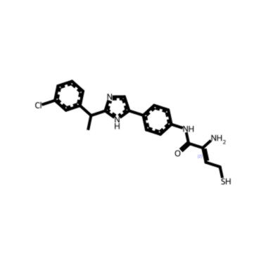 CC(c1cccc(Cl)c1)c1ncc(-c2ccc(NC(=O)/C(N)=C/CS)cc2)[nH]1